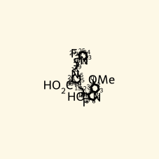 COc1ccc2ncc(F)c([C@@H](O)CC[C@H]3CCN(CCSc4ncccc4F)C[C@H]3C(=O)O)c2c1